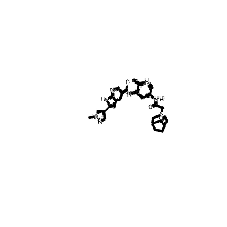 Cc1ncc(NC(=O)CN2CC3CCC(C2)C3O)cc1NC(=O)c1cnc2[nH]c(-c3cnn(C)c3)cc2c1